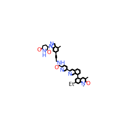 CCc1cc(-c2cccc3cc(-c4ccc(C(=O)NCC#Cc5cc(C)c6cnn(C7CCC(=O)NC7=O)c6c5)nc4)ncc23)c2cc(C)c(=O)n(C)c2c1